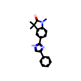 CN1C(=O)C(C)(C)c2cc(-c3nc(-c4ccccc4)c[nH]3)ccc21